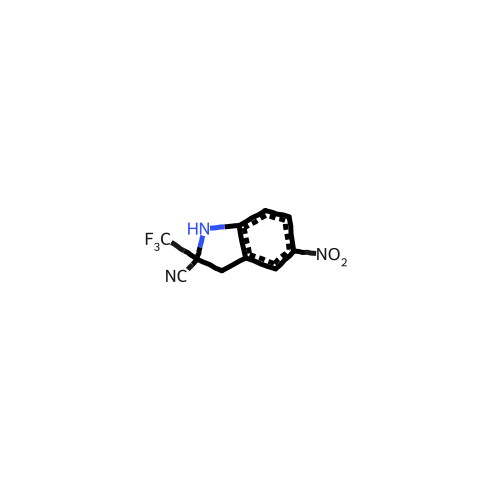 N#CC1(C(F)(F)F)Cc2cc([N+](=O)[O-])ccc2N1